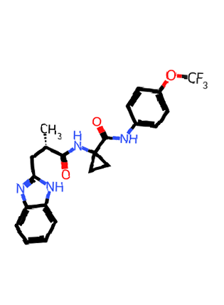 C[C@@H](Cc1nc2ccccc2[nH]1)C(=O)NC1(C(=O)Nc2ccc(OC(F)(F)F)cc2)CC1